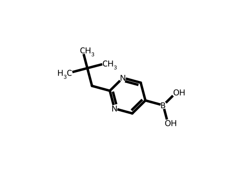 CC(C)(C)Cc1ncc(B(O)O)cn1